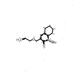 C=CCOCc1cc2c(n(CCCC)c1=O)CCCC2